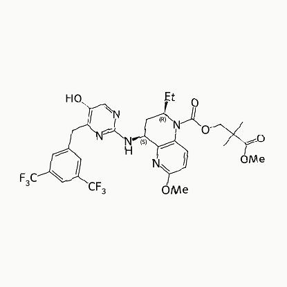 CC[C@@H]1C[C@H](Nc2ncc(O)c(Cc3cc(C(F)(F)F)cc(C(F)(F)F)c3)n2)c2nc(OC)ccc2N1C(=O)OCC(C)(C)C(=O)OC